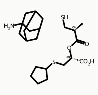 C[C@H](CS)C(=O)O[C@@H](CSC1CCCC1)C(=O)O.NC12CC3CC(CC(C3)C1)C2